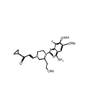 COCCC1CN(C=CC(=O)C2CC2)CCN1c1nc(N)c2cc(OC)c(OC)c(F)c2n1